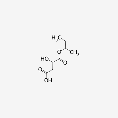 CCC(C)OC(=O)C(O)CC(=O)O